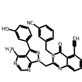 C#Cc1cccc2nc(Cn3nc(-c4cccc(O)c4)c4c(N)ncnc43)n(Cc3cccc(C#N)c3)c(=O)c12